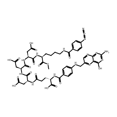 COC(=O)[C@H](CCCCNC(=O)c1ccc(N=[N+]=[N-])cc1)NC(=O)[C@H](CC(=O)O)NC(=O)[C@H](CC(=O)O)NC(=O)[C@H](CC(=O)O)NC(=O)CC[C@H](NC(=O)c1ccc(NCc2cnc3nc(N)nc(O)c3n2)cc1)C(=O)O